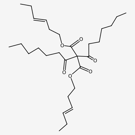 CC/C=C/CCOC(=O)C(C(=O)CCCCCC)(C(=O)CCCCCC)C(=O)OCC/C=C/CC